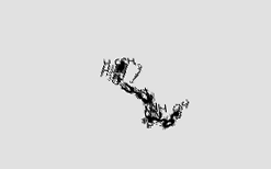 CC(C)(C)OC(=O)N1CCC(c2ccc(Nc3ncc(C(F)(F)F)c(CCc4ccccc4CC(=O)O)n3)cn2)CC1